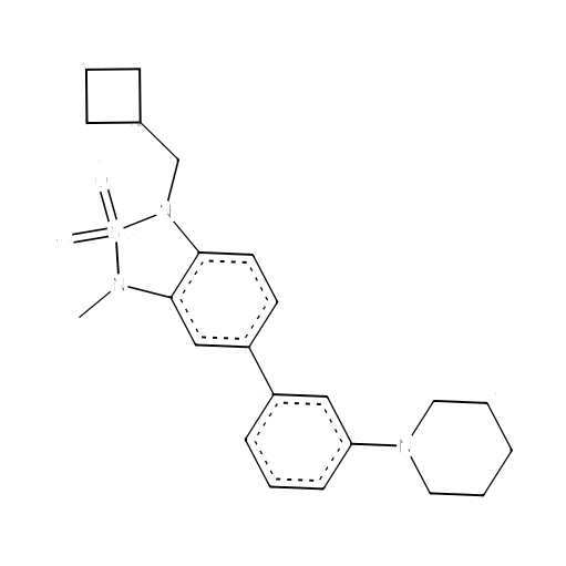 CN1c2cc(-c3cccc(N4CCCCC4)c3)ccc2N(CC2CCC2)S1(=O)=O